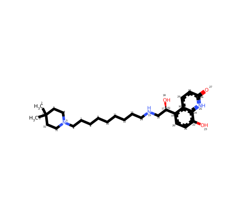 CC1(C)CCN(CCCCCCCCCNC[C@@H](O)c2ccc(O)c3[nH]c(=O)ccc23)CC1